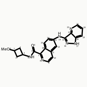 COC1CC(NC(=O)c2nccc3cc(Nc4n[nH]c5cccnc45)ccc23)C1